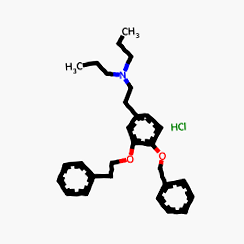 CCCN(CCC)CCc1ccc(OCc2ccccc2)c(OCCc2ccccc2)c1.Cl